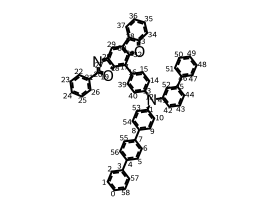 c1ccc(-c2ccc(-c3ccc(N(c4ccc(-c5c6oc(-c7ccccc7)nc6cc6c5oc5ccccc56)cc4)c4cccc(-c5ccccc5)c4)cc3)cc2)cc1